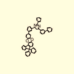 c1ccc(C2=NC(c3cccc(-c4ccc5c(c4)Oc4ccc6c(c4O5)-c4ccccc4C6(c4ccccc4)c4ccccc4)c3)CC(c3cccc(-c4ccccc4)c3)=N2)cc1